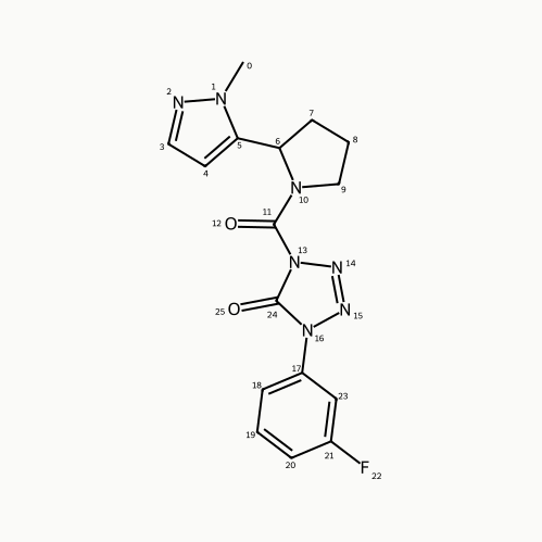 Cn1nccc1C1CCCN1C(=O)n1nnn(-c2cccc(F)c2)c1=O